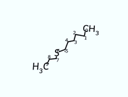 CCCCC[CH]SCCC